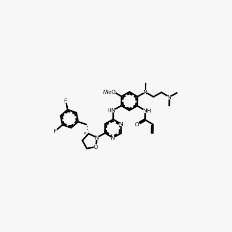 C=CC(=O)Nc1cc(Nc2cc(N3OCC[C@@H]3Cc3cc(F)cc(F)c3)ncn2)c(OC)cc1N(C)CCN(C)C